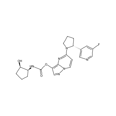 O=C(N[C@H]1CCC[C@H]1O)Oc1cnn2ccc(N3CCC[C@@H]3c3cncc(F)c3)nc12